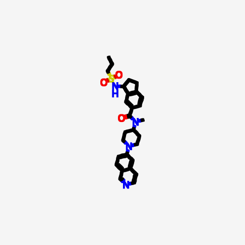 CCCS(=O)(=O)NC1CCc2ccc(C(=O)N(C)C3CCN(c4ccc5cnccc5c4)CC3)cc21